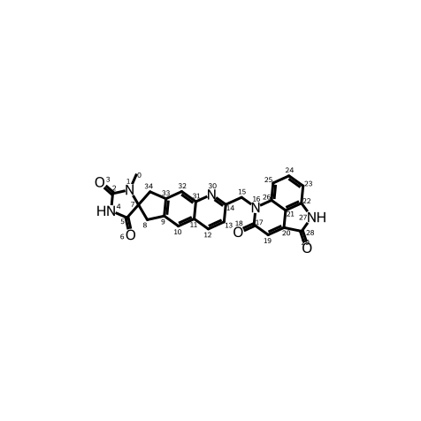 CN1C(=O)NC(=O)C12Cc1cc3ccc(Cn4c(=O)cc5c6c(cccc64)NC5=O)nc3cc1C2